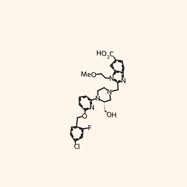 COCCn1c(CN2CCN(c3cccc(OCc4ccc(Cl)cc4F)n3)[C@@H](CO)C2)nc2ccc(C(=O)O)cc21